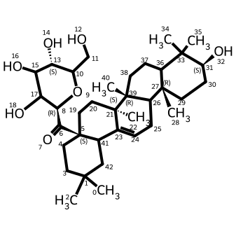 CC1(C)CC[C@]2(C(=O)[C@@H]3OC(CO)[C@@H](O)C(O)C3O)CC[C@]3(C)C(=CCC4[C@@]5(C)CC[C@H](O)C(C)(C)C5CC[C@]43C)C2C1